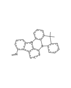 C=Nc1cccc2c1c1cccc3c1n2-c1cccc2c1B3c1ccccc1C2(C)C